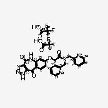 O=C(COc1ccc2c(=O)c3[nH]nnc3c(=O)[nH]c2c1)N(Cc1ccccn1)Cc1ccccn1.O=C(O)C(F)(F)F.O=C(O)C(F)(F)F